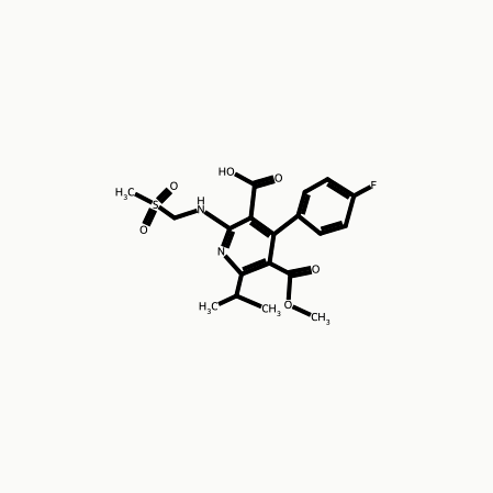 COC(=O)c1c(C(C)C)nc(NCS(C)(=O)=O)c(C(=O)O)c1-c1ccc(F)cc1